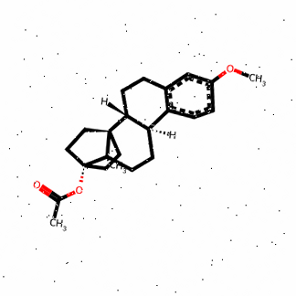 COc1ccc2c(c1)CC[C@@H]1[C@@H]2CC[C@]2(C)[C@]3(OC(C)=O)CC[C@]12CC3